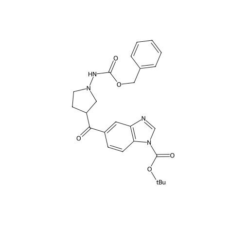 CC(C)(C)OC(=O)n1cnc2cc(C(=O)C3CCN(NC(=O)OCc4ccccc4)C3)ccc21